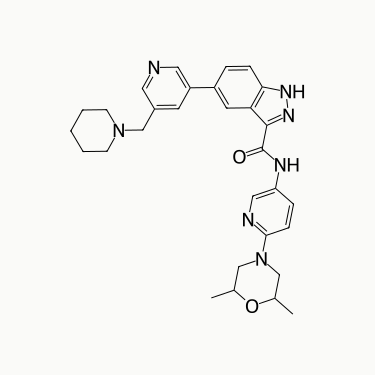 CC1CN(c2ccc(NC(=O)c3n[nH]c4ccc(-c5cncc(CN6CCCCC6)c5)cc34)cn2)CC(C)O1